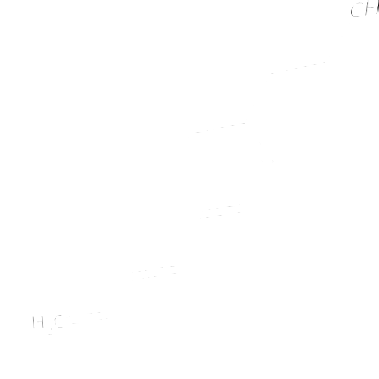 C=CC=Cc1ccc(CCC)cc1